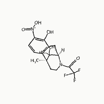 CC1(C)[C@H]2Cc3c(ccc([N+](=O)O)c3O)[C@]1(C)CCN2C(=O)C(F)(F)F